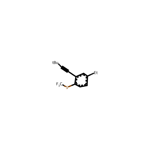 CCc1ccc(SC(F)(F)F)c(C#CC(C)(C)C)c1